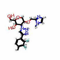 Cc1ccc(-c2cn(C3C(OCc4nccn4C)COC(CO)C3O)nn2)c(F)c1F